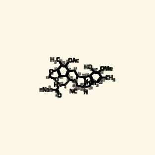 CCCCCCCCCC(=O)NC[C@H]1c2c(c(OC(C)=O)c(C)c3c2OCO3)CC2C3c4c(cc(C)c(OC)c4O)C[C@@H]([C@H](C#N)N21)N3C